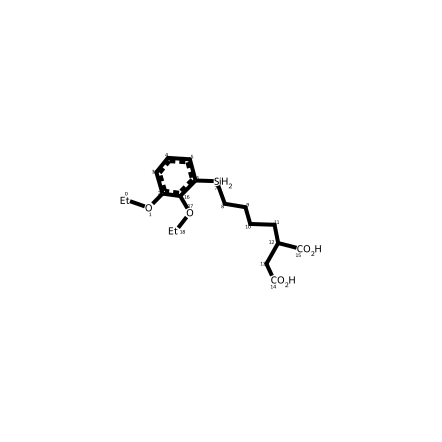 CCOc1cccc([SiH2]CCCCC(CC(=O)O)C(=O)O)c1OCC